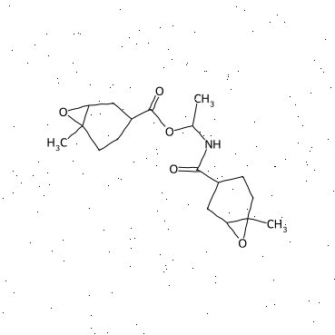 CC(NC(=O)C1CCC2(C)OC2C1)OC(=O)C1CCC2(C)OC2C1